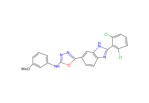 COc1cccc(Nc2nnc(-c3ccc4nc(-c5c(Cl)cccc5Cl)[nH]c4c3)o2)c1